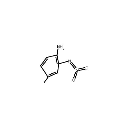 Cc1ccc(N)c(N=S(=O)=O)c1